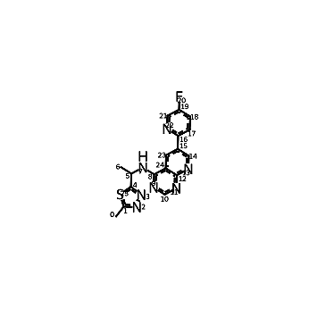 Cc1nnc(C(C)Nc2ncnc3ncc(-c4ccc(F)cn4)cc23)s1